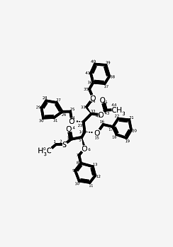 CCSC(=O)[C@H](OCc1ccccc1)[C@@H](OCc1ccccc1)[C@H](OCc1ccccc1)[C@@H](COCc1ccccc1)OC(C)=O